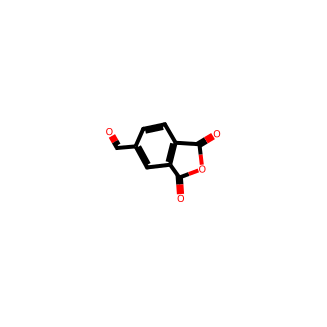 O=Cc1ccc2c(c1)C(=O)OC2=O